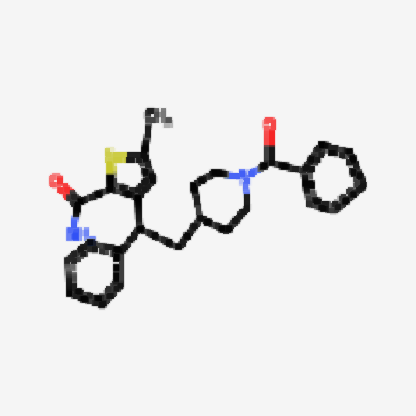 Cc1cc(C(CC2CCN(C(=O)c3ccccc3)CC2)c2ccccc2)c(C(N)=O)s1